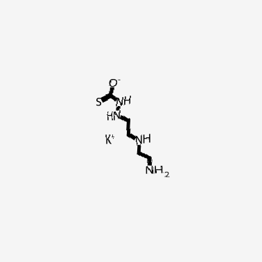 NCCNCCNNC([O-])=S.[K+]